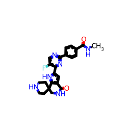 CNC(=O)c1ccc(-c2ncc(F)c(-c3cc4c([nH]3)C3(CCNCC3)CNC4=O)n2)cc1